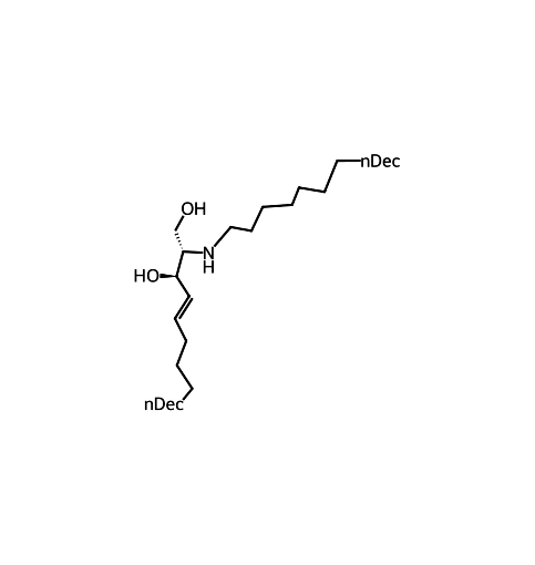 CCCCCCCCCCCCC/C=C/[C@@H](O)[C@H](CO)NCCCCCCCCCCCCCCCCC